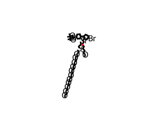 COCCSCCC[Si]1(CCCSCCOCOCOCOCOCOCOCOCOCOCOC)c2cc(Br)ccc2-c2ccc(B3OC(C)(C)C(C)(C)O3)cc21